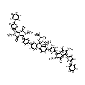 CCCCC(CC)CC1(CC(CC)CCCC)c2cc(-c3ccc(C4=C5C(=O)N(CCC)C(c6ccc(-c7ccccc7)s6)=C5C(=O)N4CCC)s3)ccc2-c2ccc(-c3ccc(C4=C5C(=O)N(CCC)C(c6ccc(-c7ccccc7)s6)=C5C(=O)N4CCC)s3)cc21